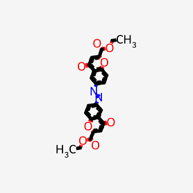 CCOC(=O)c1cc(=O)c2cc(/N=N/c3ccc4oc(C(=O)OCC)cc(=O)c4c3)ccc2o1